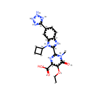 CCOc1c(C(=O)O)nc(-c2nc3ccc(-c4nn[nH]n4)cc3n2C2CCC2)n(C)c1=O